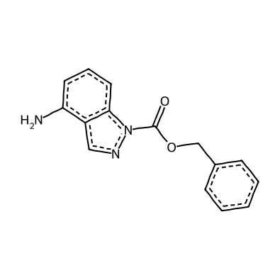 Nc1cccc2c1cnn2C(=O)OCc1ccccc1